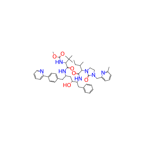 CCC(C)C(C(=O)NC(Cc1ccccc1)C(O)CC(Cc1ccc(-c2ccccn2)cc1)NC(=O)C(NC(=O)OC)C(C)(C)C)N1CCN(Cc2cccc(C)n2)C1=O